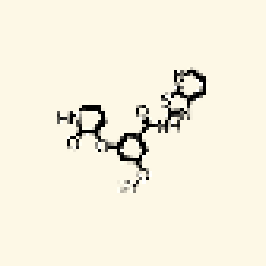 CC(C)Oc1cc(Oc2ccc[nH]c2=O)cc(C(=O)Nc2nc3cccnc3s2)c1